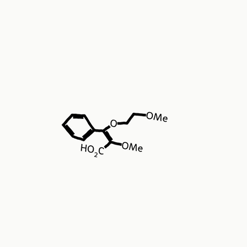 COCCOC(=C(OC)C(=O)O)c1ccccc1